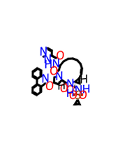 O=C(N[C@H]1CCCCCC=C[C@@H]2C[C@@]2(C(=O)NS(=O)(=O)C2CC2)NC(=O)[C@@H]2C[C@@H](Oc3nc4ccccc4c4ccccc34)CN2C1=O)c1ccncn1